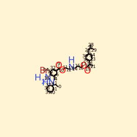 CCC1(NCc2cc(C(=O)OCCNCCCOC(=O)C(C)c3ccc(CC(C)C)cc3)cc(Br)c2N)CCCCC1